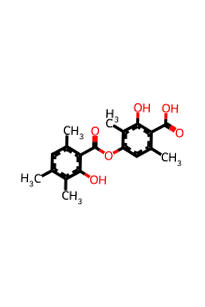 Cc1cc(C)c(C(=O)Oc2cc(C)c(C(=O)O)c(O)c2C)c(O)c1C